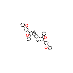 C[Si]1(C)c2cc3c(cc2-c2c1cc(-c1ccc4c(c1)oc1ccccc14)c1oc4ccccc4c21)[Si](C)(C)c1cc(-c2ccc4c(c2)oc2ccccc24)c2oc4ccccc4c2c1-3